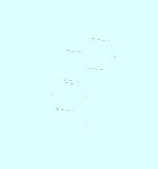 CC1CCCCC1c1c[nH]c(=O)c(C#N)c1